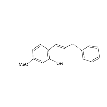 COc1ccc(C=CCc2ccccc2)c(O)c1